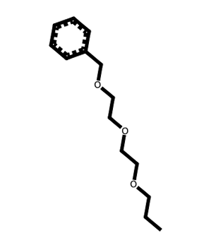 CCCOCCOCCOCc1ccccc1